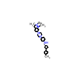 C=C(Cc1ccc(N2CCN(c3ccc(NC[C@@H]4CCC(c5ccc(C)cc5)C4)cc3)CC2)cc1)N(/N=C\C)C(C)CC